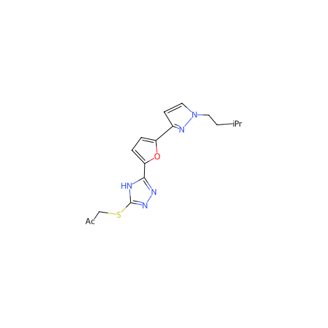 CC(=O)CSc1nnc(-c2ccc(-c3ccn(CCC(C)C)n3)o2)[nH]1